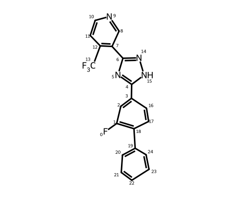 Fc1cc(-c2nc(-c3cnccc3C(F)(F)F)n[nH]2)ccc1-c1ccccc1